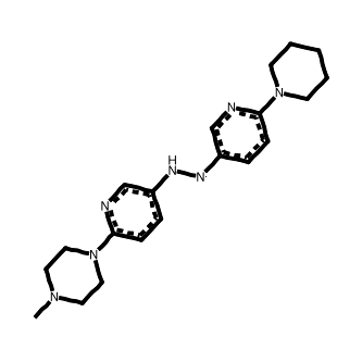 CN1CCN(c2ccc(N[N]c3ccc(N4CCCCC4)nc3)cn2)CC1